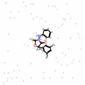 CC1(c2cc(F)cc(F)c2)OC(=S)N(Nc2ccccc2)C1=O